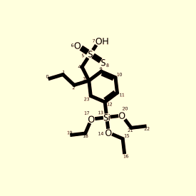 CCCC1(CS(=O)(O)=S)C=CC=C([Si](OCC)(OCC)OCC)C1